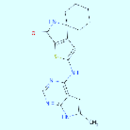 Cc1cc2c(Nc3cc4c(s3)C(=O)NC43CCCCC3)ncnc2[nH]1